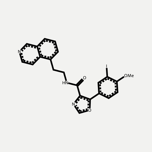 COc1ccc(-c2ocnc2C(=O)NCCc2cccc3cnccc23)cc1I